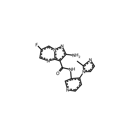 Cc1nccn1-c1ccncc1NC(=O)c1c(N)nn2cc(F)cnc12